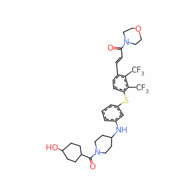 O=C(C=Cc1ccc(Sc2cccc(NC3CCN(C(=O)C4CCC(O)CC4)CC3)c2)c(C(F)(F)F)c1C(F)(F)F)N1CCOCC1